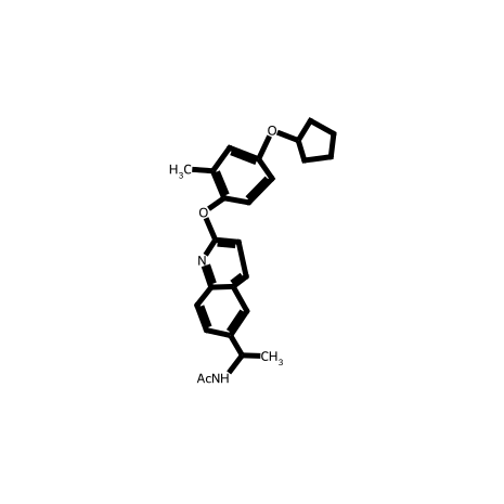 CC(=O)NC(C)c1ccc2nc(Oc3ccc(OC4CCCC4)cc3C)ccc2c1